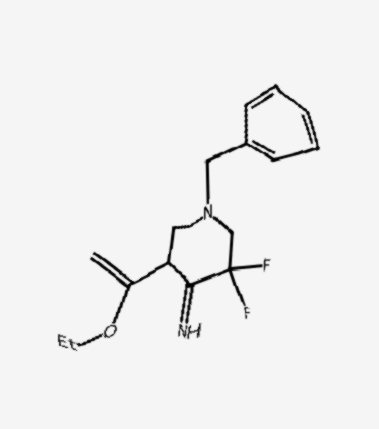 C=C(OCC)C1CN(Cc2ccccc2)CC(F)(F)C1=N